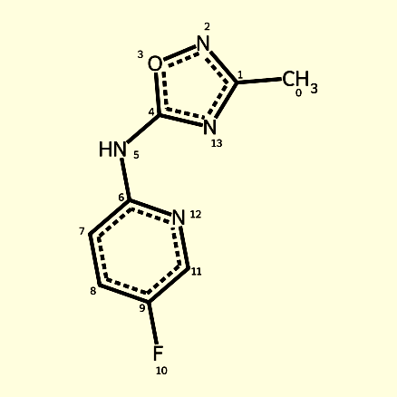 Cc1noc(Nc2ccc(F)cn2)n1